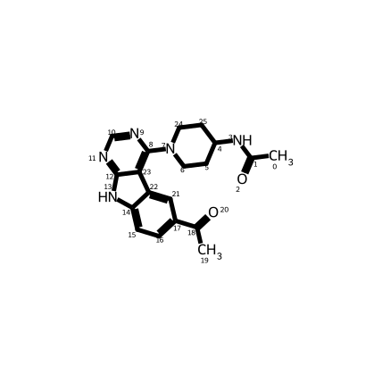 CC(=O)NC1CCN(c2ncnc3[nH]c4ccc(C(C)=O)cc4c23)CC1